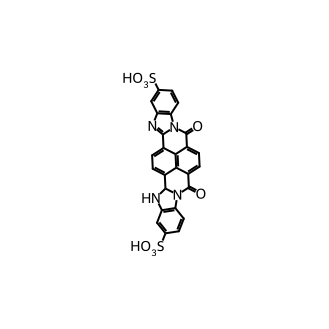 O=C1c2ccc3c(=O)n4c5ccc(S(=O)(=O)O)cc5nc4c4ccc(c2c34)C2Nc3cc(S(=O)(=O)O)ccc3N12